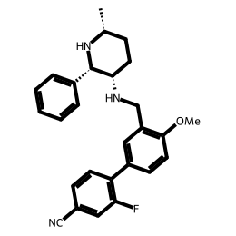 COc1ccc(-c2ccc(C#N)cc2F)cc1CN[C@H]1CC[C@@H](C)N[C@H]1c1ccccc1